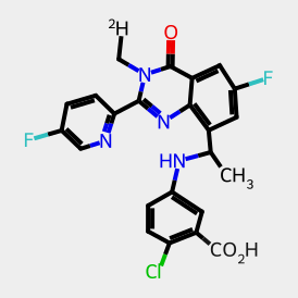 [2H]Cn1c(-c2ccc(F)cn2)nc2c(C(C)Nc3ccc(Cl)c(C(=O)O)c3)cc(F)cc2c1=O